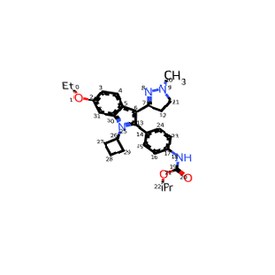 CCOc1ccc2c(C3=NN(C)CC3)c(-c3ccc(NC(=O)OC(C)C)cc3)n(C3CCC3)c2c1